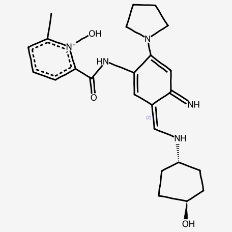 Cc1cccc(C(=O)NC2=C/C(=C/N[C@H]3CC[C@H](O)CC3)C(=N)C=C2N2CCCC2)[n+]1O